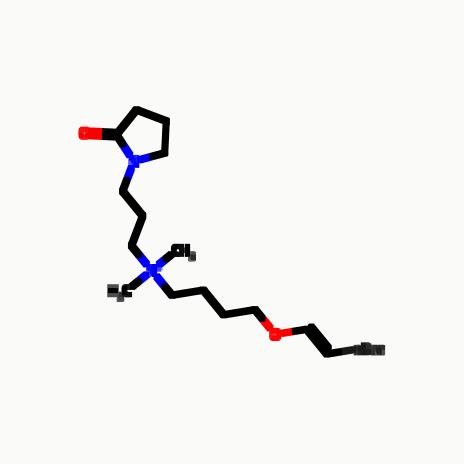 CCCCCCCCCCC=COCCCC[N+](C)(C)CCCN1CCCC1=O